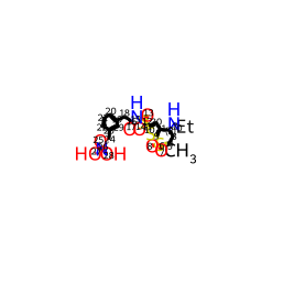 CCN[C@H]1CC(C)S(=O)(=O)c2sc(S(=O)(=O)NC(=O)Cc3cccc(CON(O)O)c3)cc21